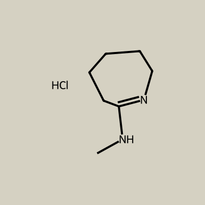 CNC1=NCCCCC1.Cl